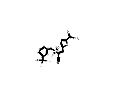 N#C/C(=C/c1ccc(C(N)=O)s1)S(=O)(=O)Cc1cccc(C(F)(F)F)c1